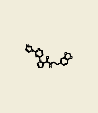 O=C(NCCc1ccc2c(c1)OCO2)c1cccn1-c1ccnc(-n2ccnc2)n1